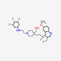 COc1ccc2ncc(CF)c([C@H](F)CCC3(CO)CCN(CCNc4cc(F)c(F)c(F)c4)CC3)c2c1